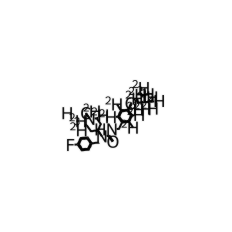 [2H]c1c([2H])c(OC([2H])([2H])C([2H])(C([2H])([2H])[2H])C([2H])([2H])[2H])c([2H])c([2H])c1CNC(=O)N(Cc1ccc(F)cc1)C1CC([2H])([2H])N(C)C([2H])([2H])C1